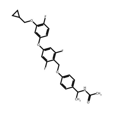 CC(=O)NC(C)c1ccc(OCc2c(F)cc(Oc3ccc(F)c(OCC4CC4)c3)cc2F)cc1